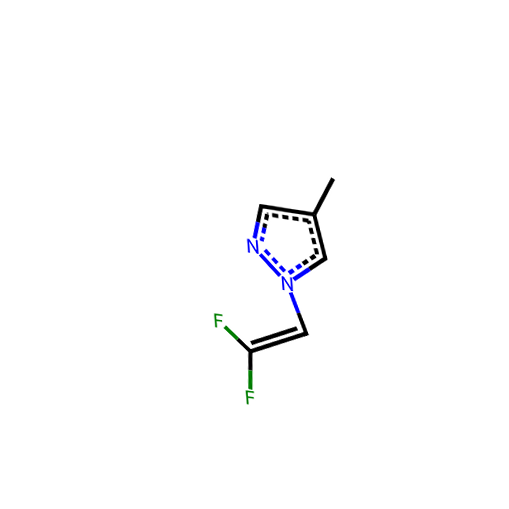 Cc1cnn(C=C(F)F)c1